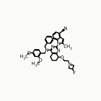 COc1ccc(CN(Cc2ccccc2)c2nc(-n3c(C)cc4c(C#N)cccc43)nc3c2CCCC3OCCN2CC(F)C2)c(OC)c1